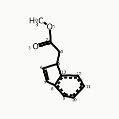 COC(=O)CC1C=Cc2ccccc21